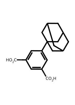 O=C(O)c1cc(C(=O)O)cc(C23CC4CC(CC(C4)C2)C3)c1